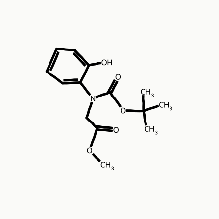 COC(=O)CN(C(=O)OC(C)(C)C)c1ccccc1O